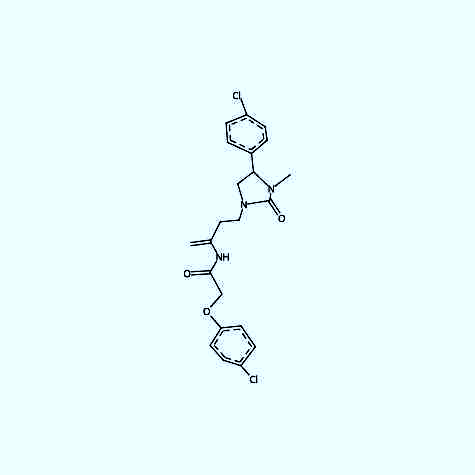 C=C(CCN1CC(c2ccc(Cl)cc2)N(C)C1=O)NC(=O)COc1ccc(Cl)cc1